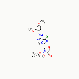 COc1ccc(CNc2nccn3c([C@H]4CN(C(=O)OC(C)(C)C)[C@H](C=O)CO4)nc(Br)c23)c(OC)c1